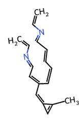 C=C\N=C\C=C\C=C/C(/C=C1C=C/1C)=C\C=N\C=C